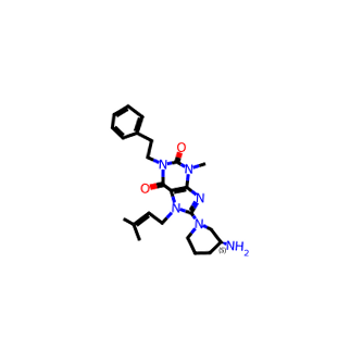 CC(C)=CCn1c(N2CCC[C@H](N)C2)nc2c1c(=O)n(CCc1ccccc1)c(=O)n2C